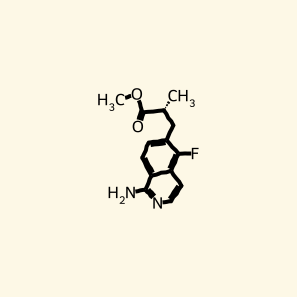 COC(=O)[C@H](C)Cc1ccc2c(N)nccc2c1F